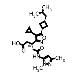 Cc1cc(NC(=O)C[C@H](CC(=O)O)c2noc([C@H]3C[C@@H](CC(C)C)C3)c2C2CC2)n(C)n1